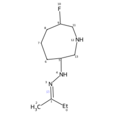 CC/C(C)=N\NC1CCCC(F)CNC1